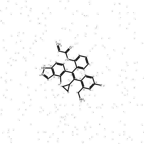 C=CC(=O)Oc1ccccc1/C(=C(\c1ccc(F)cc1CN)C1CC1)c1ccc2[nH]ncc2c1F